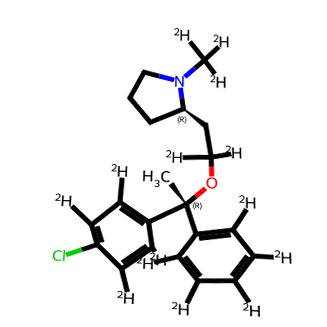 [2H]c1c([2H])c([2H])c([C@@](C)(OC([2H])([2H])C[C@H]2CCCN2C([2H])([2H])[2H])c2c([2H])c([2H])c(Cl)c([2H])c2[2H])c([2H])c1[2H]